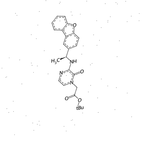 C[C@H](Nc1nccn(CC(=O)OC(C)(C)C)c1=O)c1ccc2oc3ccccc3c2c1